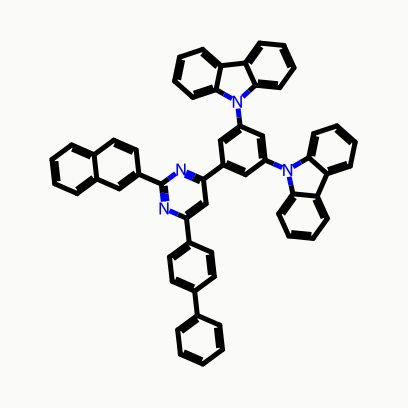 c1ccc(-c2ccc(-c3cc(-c4cc(-n5c6ccccc6c6ccccc65)cc(-n5c6ccccc6c6ccccc65)c4)nc(-c4ccc5ccccc5c4)n3)cc2)cc1